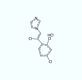 Cl.ClC(=Cn1ccnc1)c1ccc(Cl)cc1Cl